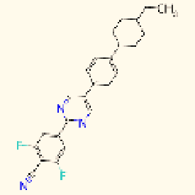 CCC1CCC(c2ccc(-c3cnc(-c4cc(F)c(C#N)c(F)c4)nc3)cc2)CC1